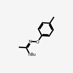 CCCC/C(C)=N\Oc1ccc(C)cc1